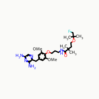 COc1cc(Cc2ncc(N)nc2N)cc(OC)c1OCCCNC(=O)C(C)(C)CCOC(C)(C)CF